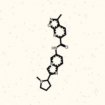 Cc1noc2nc(C(=O)Nc3ccc4nc(C5CCCN5C)cn4c3)ccc12